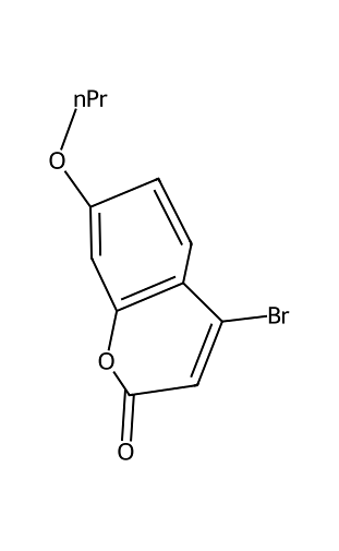 CCCOc1ccc2c(Br)cc(=O)oc2c1